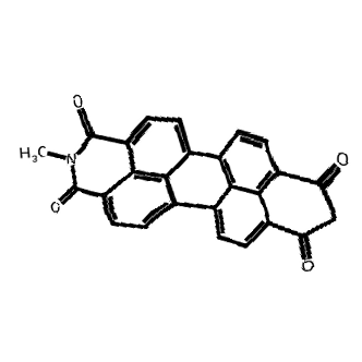 CN1C(=O)c2ccc3c4ccc5c6c(ccc(c7ccc(c2c37)C1=O)c64)C(=O)CC5=O